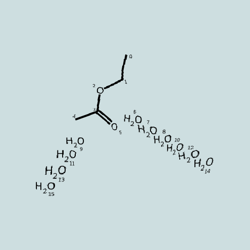 CCOC(C)=O.O.O.O.O.O.O.O.O.O.O